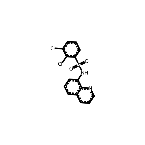 O=S(=O)(Nc1cccc2cccnc12)c1cccc(Cl)c1Cl